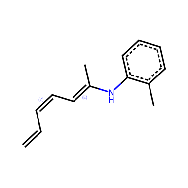 C=C/C=C\C=C(/C)Nc1ccccc1C